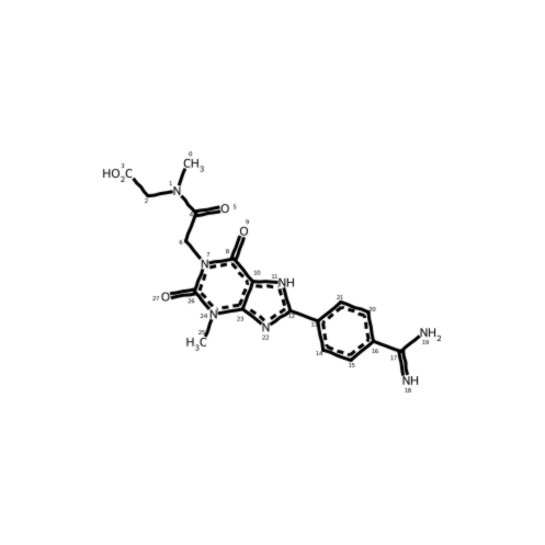 CN(CC(=O)O)C(=O)Cn1c(=O)c2[nH]c(-c3ccc(C(=N)N)cc3)nc2n(C)c1=O